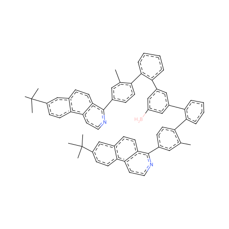 Bc1cc(-c2ccccc2-c2ccc(-c3nccc4c3ccc3cc(C(C)(C)C)ccc34)cc2C)cc(-c2ccccc2-c2ccc(-c3nccc4c3ccc3cc(C(C)(C)C)ccc34)cc2C)c1